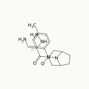 Cc1ccc([S+]([O-])N2C3CCC2CN(C(=O)/C(=C/N)NN)C3)cc1